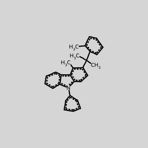 Cc1ccccc1C(C)(C)c1ccc2c(c1C)c1ccccc1n2-c1ccccc1